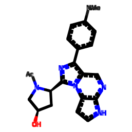 CNc1ccc(-c2nc([C@H]3C[C@@H](O)CN3C(C)=O)n3c2cnc2[nH]ccc23)cc1